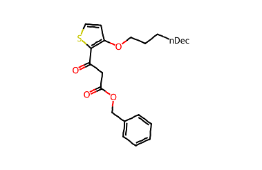 CCCCCCCCCCCCCOc1ccsc1C(=O)CC(=O)OCc1ccccc1